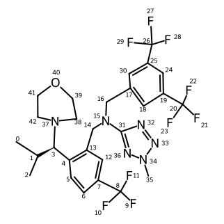 CC(C)[C@H](c1ccc(C(F)(F)F)cc1CN(Cc1cc(C(F)(F)F)cc(C(F)(F)F)c1)c1nnn(C)n1)N1CCOCC1